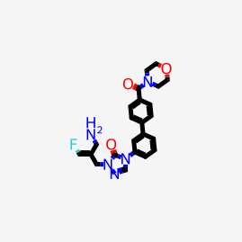 NC/C(=C\F)Cn1ncn(-c2cccc(-c3ccc(C(=O)N4CCOCC4)cc3)c2)c1=O